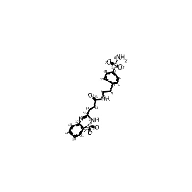 NS(=O)(=O)c1ccc(CCNC(=O)CCC2=Nc3ccccc3S(=O)(=O)N2)cc1